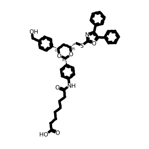 O=C(O)CCCCCCC(=O)Nc1ccc([C@H]2O[C@@H](CSc3nc(-c4ccccc4)c(-c4ccccc4)o3)C[C@@H](c3ccc(CO)cc3)O2)cc1